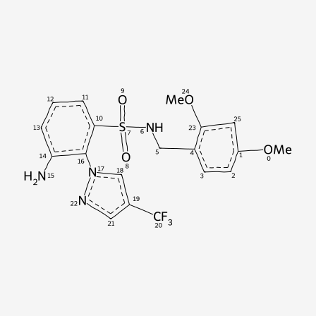 COc1ccc(CNS(=O)(=O)c2cccc(N)c2-n2cc(C(F)(F)F)cn2)c(OC)c1